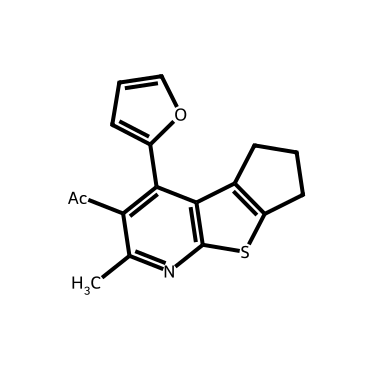 CC(=O)c1c(C)nc2sc3c(c2c1-c1ccco1)CCC3